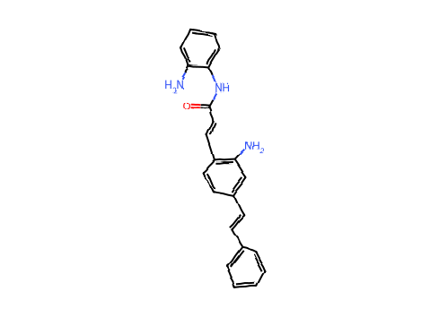 Nc1cc(C=Cc2ccccc2)ccc1C=CC(=O)Nc1ccccc1N